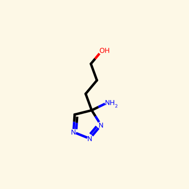 NC1(CCCO)C=NN=N1